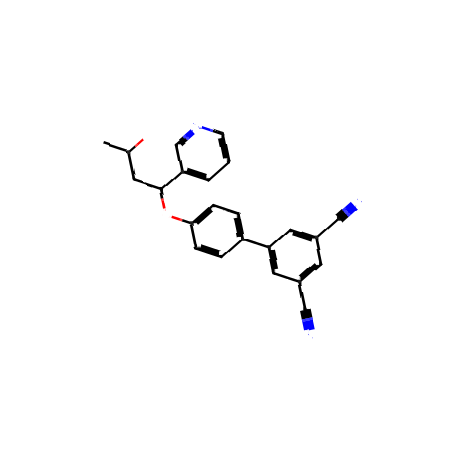 CC(O)CC(Oc1ccc(-c2cc(C#N)cc(C#N)c2)cc1)c1cccnc1